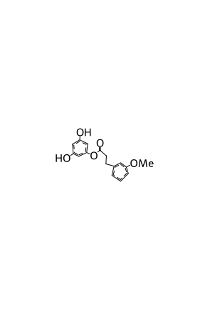 COc1cccc(CCC(=O)Oc2cc(O)cc(O)c2)c1